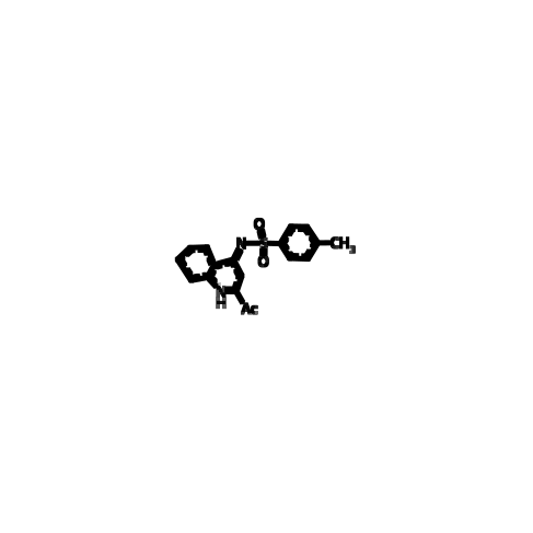 CC(=O)c1cc(=NS(=O)(=O)c2ccc(C)cc2)c2ccccc2[nH]1